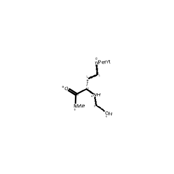 CCCCCCC[C@H](NCO)C(=O)NC